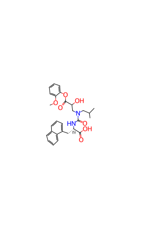 COc1ccccc1OC(=O)C(O)CN(CC(C)C)C(=O)N[C@@H](Cc1cccc2ccccc12)C(=O)O